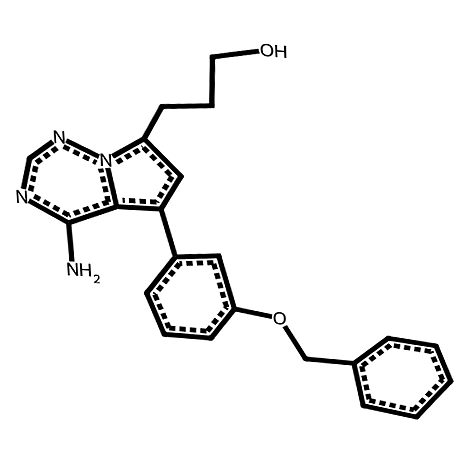 Nc1ncnn2c(CCCO)cc(-c3cccc(OCc4ccccc4)c3)c12